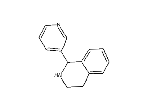 c1cncc(C2NCCc3ccccc32)c1